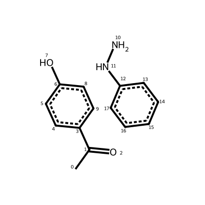 CC(=O)c1ccc(O)cc1.NNc1ccccc1